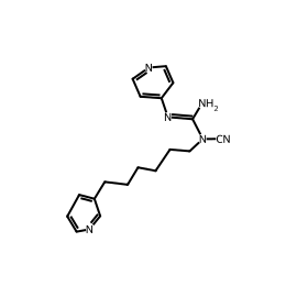 N#CN(CCCCCCc1cccnc1)C(N)=Nc1ccncc1